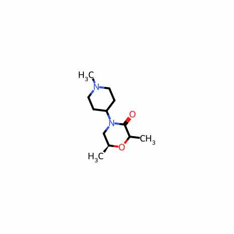 CC1O[C@@H](C)CN(C2CCN(C)CC2)C1=O